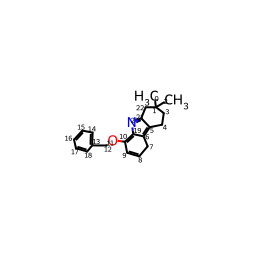 CC1(C)CCC2=C3CC=CC(OCc4ccccc4)=C3N=C2C1